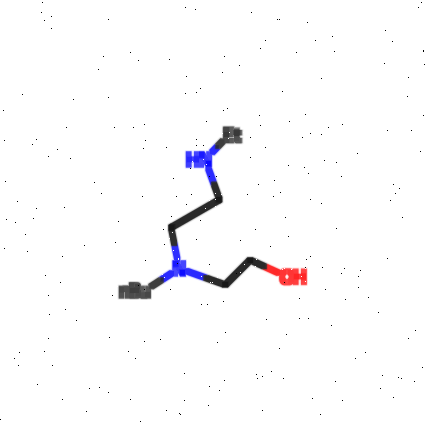 CCCCN(CCO)CCNCC